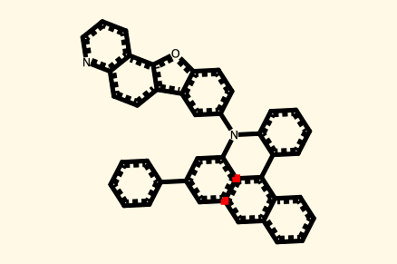 c1ccc(-c2cccc(N(c3ccc4oc5c6cccnc6ccc5c4c3)c3ccccc3-c3cccc4ccccc34)c2)cc1